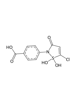 O=C(O)c1ccc(N2C(=O)C=C(Cl)S2(O)O)cc1